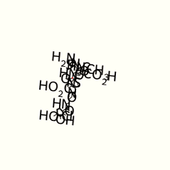 CC(C)(O/N=C(\C(=O)NC1C(=O)N2C(C(=O)O)=C(C=NOCCNC(=O)c3ccc(O)c(O)c3Cl)CSC12)c1csc(N)n1)C(=O)O